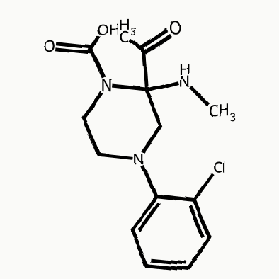 CNC1(C(C)=O)CN(c2ccccc2Cl)CCN1C(=O)O